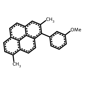 COc1cccc(-c2c(C)cc3ccc4ccc(C)c5ccc2c3c45)c1